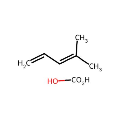 C=CC=C(C)C.O=C(O)O